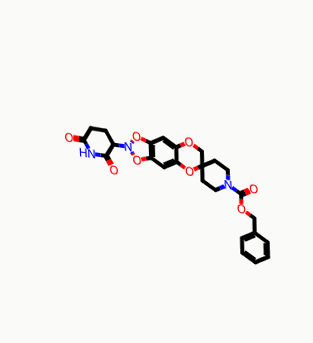 O=C1CCC(N2Oc3cc4c(cc3O2)OC2(CCN(C(=O)OCc3ccccc3)CC2)CO4)C(=O)N1